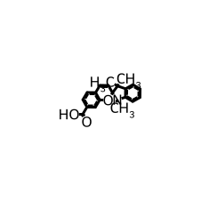 CN1c2ccccc2C(C)(C)C12C=Cc1ccc(C(=O)O)cc1O2